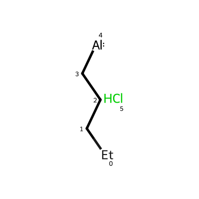 CCCC[CH2][Al].Cl